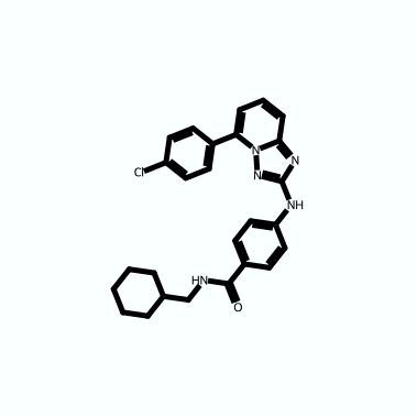 O=C(NCC1CCCCC1)c1ccc(Nc2nc3cccc(-c4ccc(Cl)cc4)n3n2)cc1